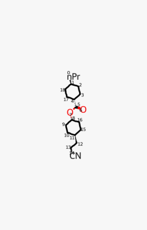 CCC[C@H]1CC[C@H](C(=O)O[C@H]2CC[C@H](CCC#N)CC2)CC1